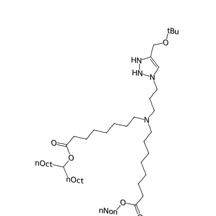 CCCCCCCCCOC(=O)CCCCCCCN(CCCCCCCC(=O)OC(CCCCCCCC)CCCCCCCC)CCCN1C=C(COC(C)(C)C)NN1